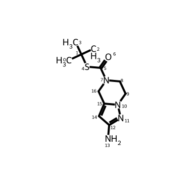 CC(C)(C)SC(=O)N1CCn2nc(N)cc2C1